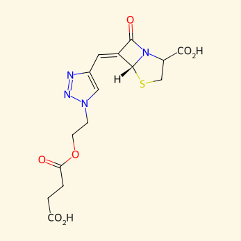 O=C(O)CCC(=O)OCCn1cc(/C=C2/C(=O)N3C(C(=O)O)CS[C@H]23)nn1